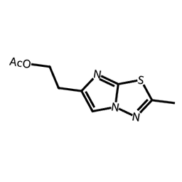 CC(=O)OCCc1cn2nc(C)sc2n1